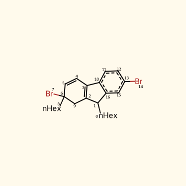 CCCCCCC1C2=C(C=CC(Br)(CCCCCC)C2)c2ccc(Br)cc21